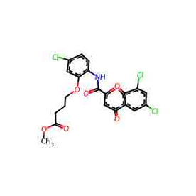 COC(=O)CCCOc1cc(Cl)ccc1NC(=O)c1cc(=O)c2cc(Cl)cc(Cl)c2o1